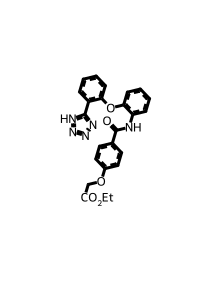 CCOC(=O)COc1ccc(C(=O)Nc2ccccc2Oc2ccccc2-c2nnn[nH]2)cc1